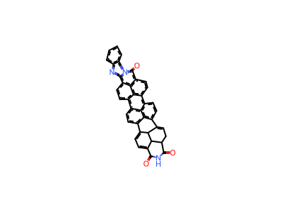 O=C1NC(=O)C2CC=C3c4ccc5c6ccc7c(=O)n8c9ccccc9nc8c8ccc(c9ccc(c4c59)C4=CC=C1C2C34)c6c78